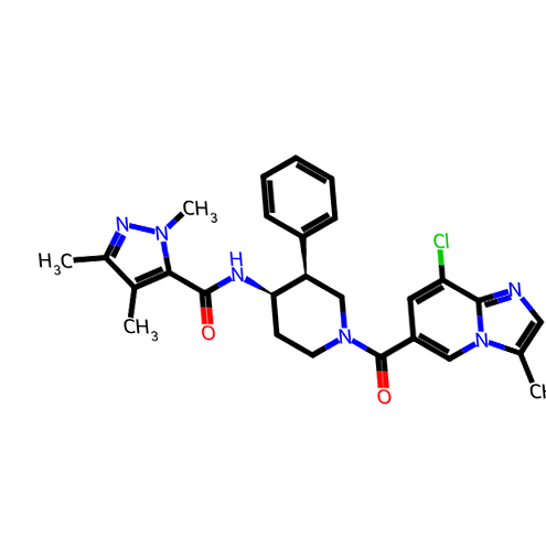 Cc1nn(C)c(C(=O)N[C@@H]2CCN(C(=O)c3cc(Cl)c4ncc(C)n4c3)C[C@@H]2c2ccccc2)c1C